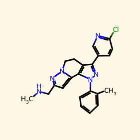 CNCc1cc2n(n1)CCc1c(-c3ccc(Cl)nc3)nn(-c3ccccc3C)c1-2